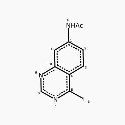 CC(=O)Nc1ccc2c(I)ncnc2c1